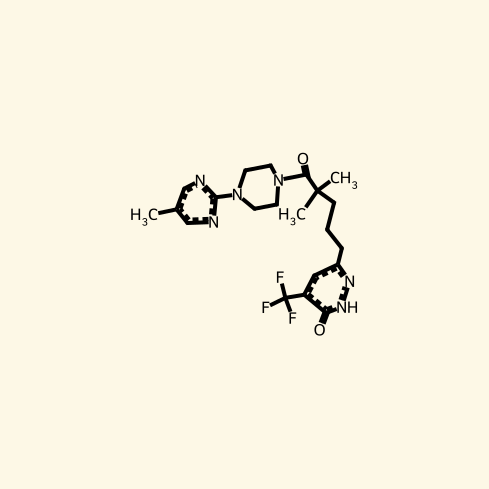 Cc1cnc(N2CCN(C(=O)C(C)(C)CCCc3cc(C(F)(F)F)c(=O)[nH]n3)CC2)nc1